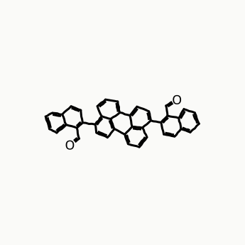 O=Cc1c(-c2ccc3c4cccc5c(-c6ccc7ccccc7c6C=O)ccc(c6cccc2c63)c54)ccc2ccccc12